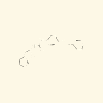 O=C(Nc1ccc(OCc2ccccc2)cc1)Nc1nc2ccccc2o1